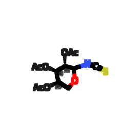 CC(=O)O[C@H]1[C@H](OC(C)=O)C(N=C=S)OC[C@H]1OC(C)=O